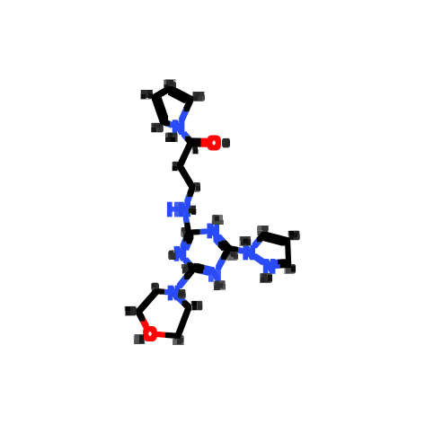 O=C(CCNc1nc(N2CCOCC2)nc(-n2cccn2)n1)n1cccc1